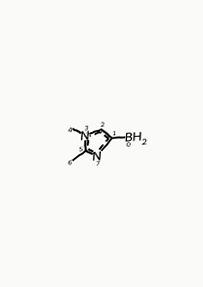 Bc1cn(C)c(C)n1